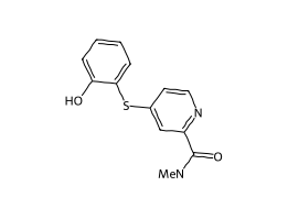 CNC(=O)c1cc(Sc2ccccc2O)ccn1